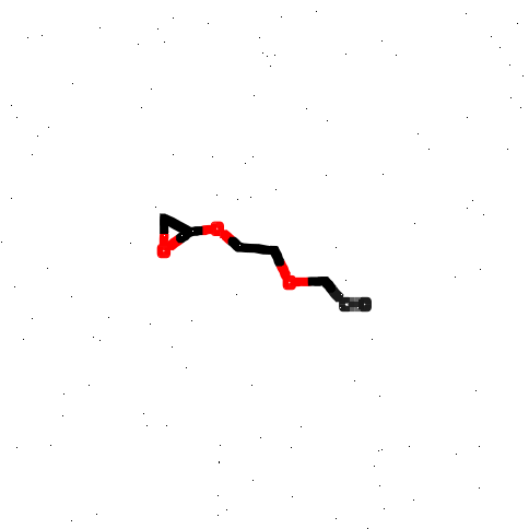 O=CCOCCOC1CO1